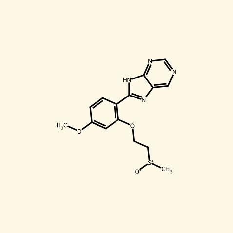 COc1ccc(-c2nc3cncnc3[nH]2)c(OCC[S+](C)[O-])c1